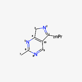 CCCC1=NCc2nc(C)ncc21